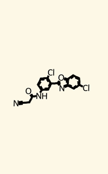 N#CCC(=O)Nc1ccc(Cl)c(-c2nc3cc(Cl)ccc3o2)c1